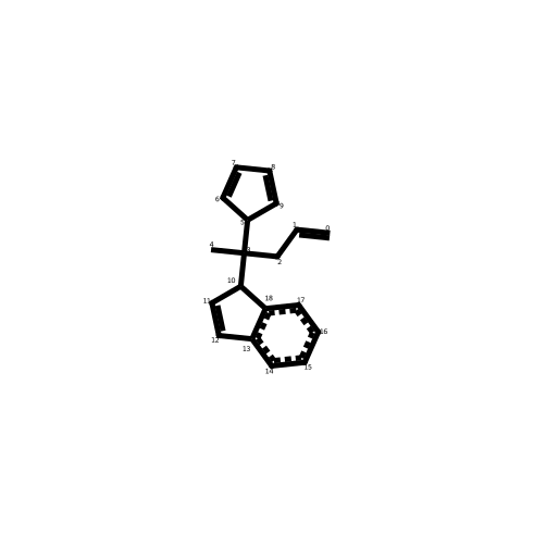 C=CCC(C)(C1C=CC=C1)C1C=Cc2ccccc21